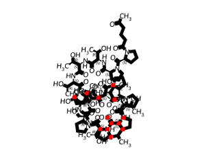 CC(=O)CCCC(=O)N1CCC[C@H]1C(=O)N1CCC[C@H]1C(=O)N[C@H](C(=O)N[C@H](C(=O)N[C@H](C(=O)N1CCC[C@H]1C(=O)N[C@@H](CO)C(=O)N1CCC[C@H]1C(=O)N1CCC[C@H]1C(=O)N1CCC[C@H]1C(=O)N[C@H](C(=O)N[C@@H](CO)C(=O)N[C@H](C(=O)N[C@H](C(=O)N[C@H](C(=O)N[C@@H](CC(C)C)C(=O)N1CCC[C@H]1C(=O)N1CCC[C@H]1C(=O)N[C@H](C(N)=O)[C@@H](C)O)[C@@H](C)O)[C@@H](C)O)[C@@H](C)O)[C@@H](C)O)[C@@H](C)O)[C@@H](C)O)[C@@H](C)O